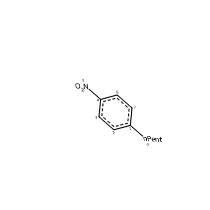 CCC[CH]Cc1ccc([N+](=O)[O-])cc1